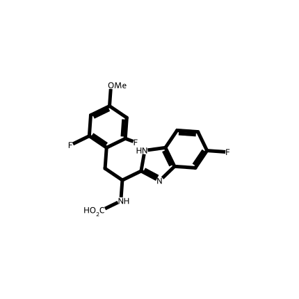 COc1cc(F)c(CC(NC(=O)O)c2nc3cc(F)ccc3[nH]2)c(F)c1